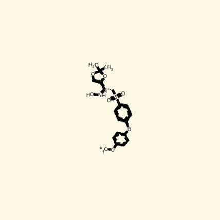 CC1(C)OC=C([C@H](CS(=O)(=O)c2ccc(Oc3ccc(OC(F)(F)F)cc3)cc2)NO)O1